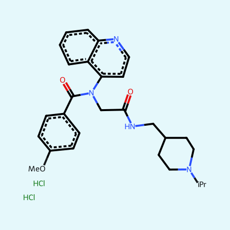 COc1ccc(C(=O)N(CC(=O)NCC2CCN(C(C)C)CC2)c2ccnc3ccccc23)cc1.Cl.Cl